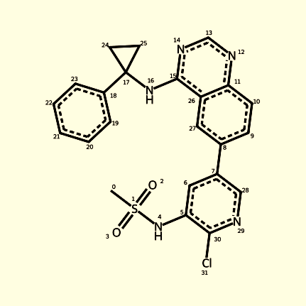 CS(=O)(=O)Nc1cc(-c2ccc3ncnc(NC4(c5ccccc5)CC4)c3c2)cnc1Cl